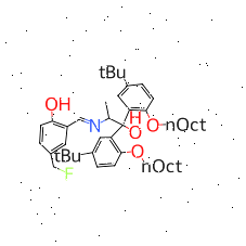 CCCCCCCCOc1ccc(C(C)(C)C)cc1C(O)(c1cc(C(C)(C)C)ccc1OCCCCCCCC)C(C)N=Cc1cc(CF)ccc1O